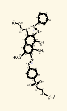 Nc1c(/N=N/c2ccc(S(=O)(=O)CCOS(=O)(=O)O)cc2)c(S(=O)(=O)O)cc2cc(SOOO)c(/N=N/c3ccccc3)c(O)c12